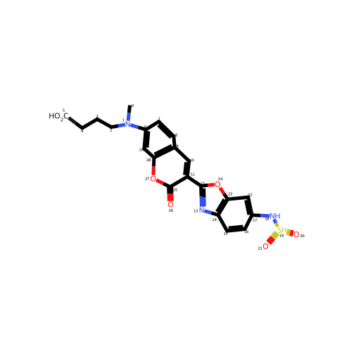 CN(CCCC(=O)O)c1ccc2cc(-c3nc4ccc(N[SH](=O)=O)cc4o3)c(=O)oc2c1